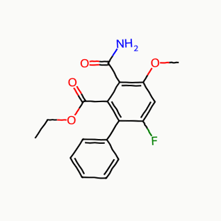 CCOC(=O)c1c(C(N)=O)c(OC)cc(F)c1-c1ccccc1